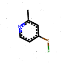 Cc1cc(SF)ccn1